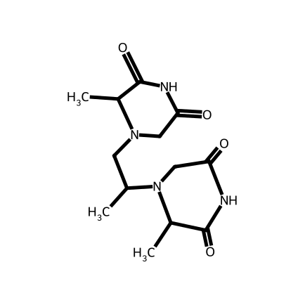 CC1C(=O)NC(=O)CN1CC(C)N1CC(=O)NC(=O)C1C